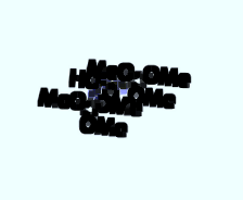 COc1cc(OC)c(/C=C/C(=O)/C=C(O)\C=C\c2c(OC)cc(OC)cc2OC)c(OC)c1